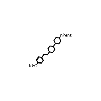 CCCCCC1CCC(C2CCC(CCc3ccc(OCC)cc3)CC2)CC1